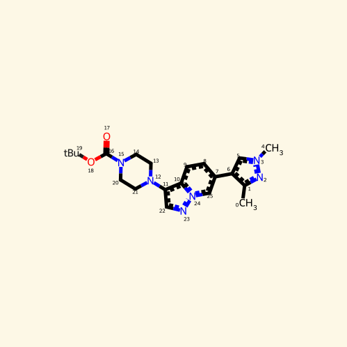 Cc1nn(C)cc1-c1ccc2c(N3CCN(C(=O)OC(C)(C)C)CC3)cnn2c1